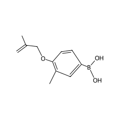 C=C(C)COc1ccc(B(O)O)cc1C